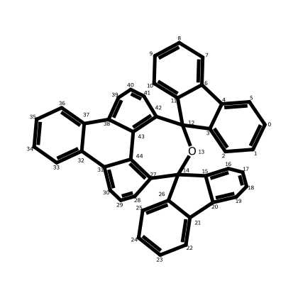 c1ccc2c(c1)-c1ccccc1C21OC2(c3ccccc3-c3ccccc32)c2cccc3c4ccccc4c4cccc1c4c23